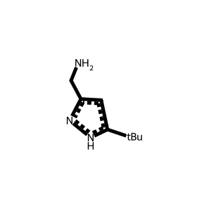 CC(C)(C)c1cc(CN)n[nH]1